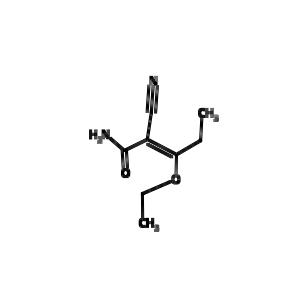 CCOC(CC)=C(C#N)C(N)=O